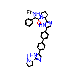 CCN[C@@H](C(=O)N1CCCC1c1ncc(-c2ccc(-c3ccc(-c4cnc([C@@H]5CCCN5)[nH]4)cc3)cc2)[nH]1)c1ccccc1